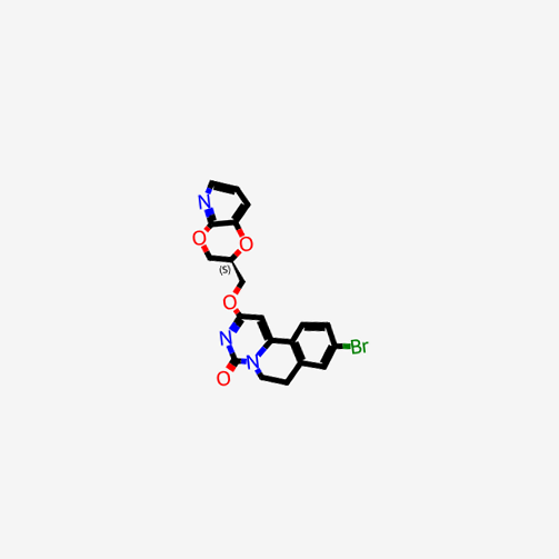 O=c1nc(OC[C@H]2COc3ncccc3O2)cc2n1CCc1cc(Br)ccc1-2